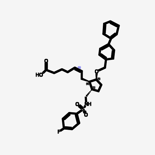 O=C(O)CCC/C=C\C[C@@H]1[C@@H](CNS(=O)(=O)c2ccc(F)cc2)CC[C@@H]1OCc1ccc(-c2ccccc2)cc1